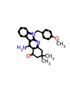 COc1ccc(Cn2c3ccccc3c3c(N)c4c(nc32)CC(C)(C)CC4=O)cc1